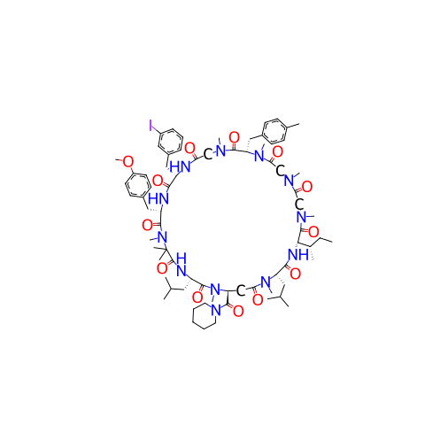 CC[C@H](C)[C@@H]1NC(=O)[C@H](CC(C)C)N(C)C(=O)C[C@@H](C(=O)N2CCCCC2)N(C)C(=O)[C@H](CC(C)C)NC(=O)C(C)(C)N(C)C(=O)[C@H](Cc2ccc(OC)cc2)NC(=O)[C@H](Cc2cccc(I)c2)NC(=O)CN(C)C(=O)[C@H](Cc2ccc(C)cc2)N(C)C(=O)CN(C)C(=O)CN(C)C1=O